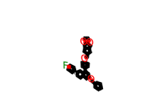 Fc1ccc([C@H]2CCc3cc(OCc4ccccc4)cc(-c4ccc(OCC5CC6CC7(CC6C5)OCCO7)cc4)c3C2)cc1